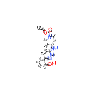 CC(C)(C)OC(=O)N1CCC(Nc2ccc(-c3ccccc3O)nn2)CC1